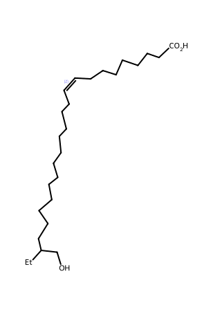 CCC(CO)CCCCCCCCCCCC/C=C\CCCCCCCC(=O)O